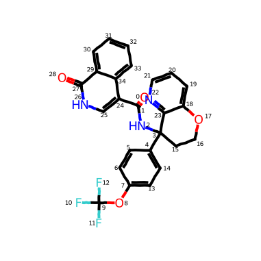 O=C(NC1(c2ccc(OC(F)(F)F)cc2)CCOc2cccnc21)c1c[nH]c(=O)c2ccccc12